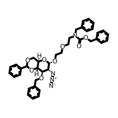 [N-]=[N+]=N[C@H]1[C@@H](OCCOCCN(Cc2ccccc2)C(=O)OCc2ccccc2)O[C@@H]2COC(c3ccccc3)O[C@H]2[C@@H]1OCc1ccccc1